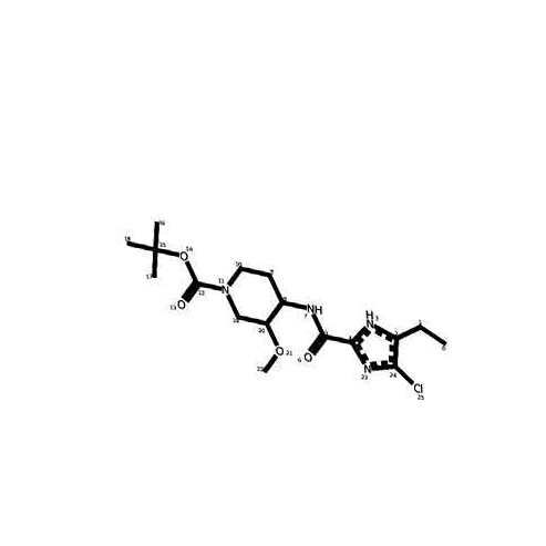 CCc1[nH]c(C(=O)NC2CCN(C(=O)OC(C)(C)C)CC2OC)nc1Cl